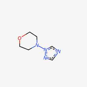 c1ncn(N2CCOCC2)n1